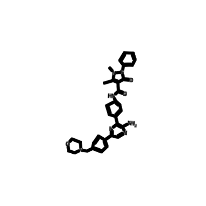 Cc1c(C(=O)Nc2ccc(-c3nc(-c4ccc(CN5CCOCC5)cc4)cnc3N)cc2)c(=O)n(-c2ccccc2)n1C